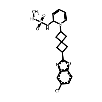 CNS(=O)(=O)NC1C=CC=CN1C1CC2(CC(c3nc4cc(Cl)ccc4o3)C2)C1